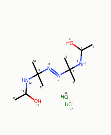 CC(O)NC(C)(C)/N=N/C(C)(C)NC(C)O.Cl.Cl